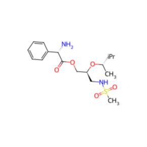 CC(C)[C@H](C)O[C@@H](CNS(C)(=O)=O)COC(=O)[C@@H](N)c1ccccc1